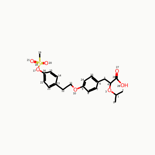 CC(C)OC(Cc1ccc(OCCc2ccc(OS(C)(=O)=O)cc2)cc1)C(=O)O